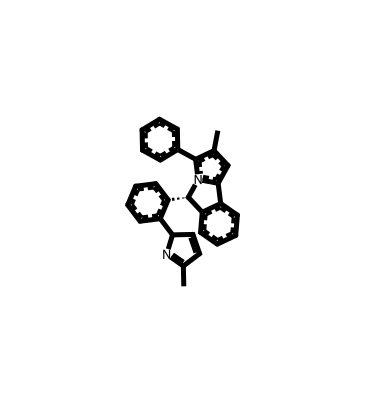 CC1=NC(c2ccccc2[C@H]2c3ccccc3-c3cc(C)c(-c4ccccc4)n32)C=C1